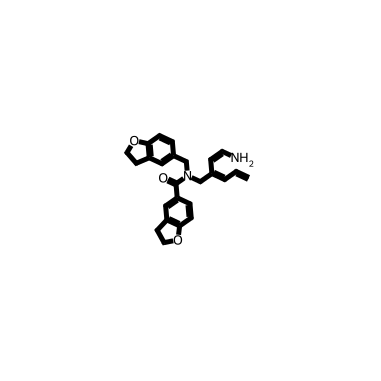 C=C/C=C(\C=C/N)CN(Cc1ccc2c(c1)CCO2)C(=O)c1ccc2c(c1)CCO2